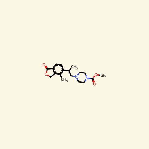 Cc1c(C(C)CN2CCN(C(=O)OC(C)(C)C)CC2)ccc2c1COC2=O